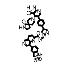 CN(CN1CC(c2ccc(-c3cnc(N)c(Cl)c3N3CCC4(CCNC4=O)CC3)cc2)C=N1)C(=O)c1ccc2cncc(-c3ccc4c(c3)CS(=O)(=O)N4C)c2n1